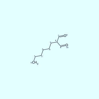 CCCCCCC([C]=O)[C]=O